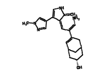 C=c1[nH]cc(-c2cnn(C)c2)/c1=C/C(=C\N)C1=CC2CC(C1)C[C@H](O)C2